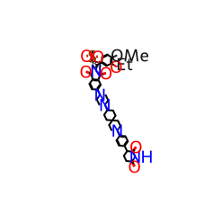 CCOc1cc([C@@H](CS(C)(=O)=O)N2C(=O)c3ccc(N4CCN(C5CCC6(CC5)CCN(c5ccc(C7CCC(=O)NC7=O)cc5)CC6)CC4)cc3C2=O)ccc1OC